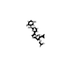 FC(F)COc1cc2ncc(-c3ccnc(N[C@H]4CNCC[C@@H]4F)n3)n2nc1C1CC1